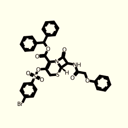 O=C(COc1ccccc1)NC1C(=O)N2C(C(=O)OC(c3ccccc3)c3ccccc3)=C(OS(=O)(=O)c3ccc(Br)cc3)CS[C@@H]12